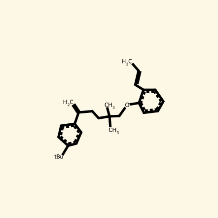 C=C(CCC(C)(C)COc1ccccc1/C=C/C)c1ccc(C(C)(C)C)cc1